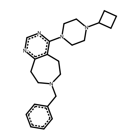 c1ccc(CN2CCc3ncnc(N4CCN(C5CCC5)CC4)c3CC2)cc1